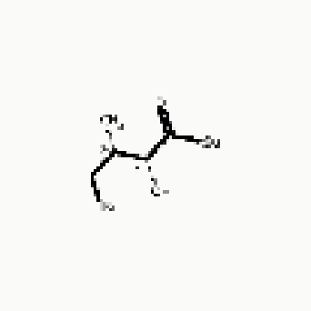 C[C@@H](CC(C)(C)C)[C@@H](O)C(=O)C(C)(C)C